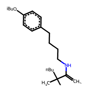 C=C(NCCCCc1ccc(OCC(C)C)cc1)C(C)(CC)CCCC